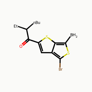 Bc1sc(Br)c2cc(C(=O)C(CC)CCCC)sc12